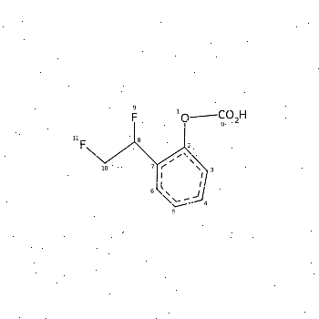 O=C(O)Oc1ccccc1C(F)CF